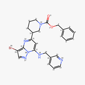 O=C(OCc1ccccc1)N1CCCC(c2cc(NCc3cccnc3)n3ncc(Br)c3n2)C1